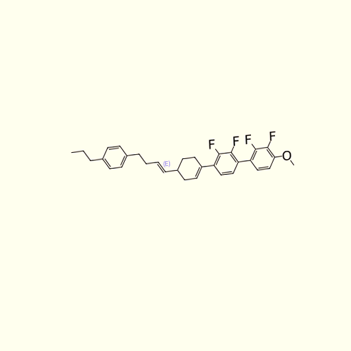 CCCc1ccc(CC/C=C/C2CC=C(c3ccc(-c4ccc(OC)c(F)c4F)c(F)c3F)CC2)cc1